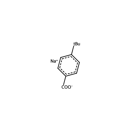 CC(C)(C)c1ccc(C(=O)[O-])cc1.[Na+]